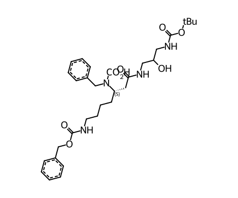 CC(C)(C)OC(=O)NCC(O)CNC(=O)C[C@H](CCCCNC(=O)OCc1ccccc1)N(Cc1ccccc1)C(=O)O